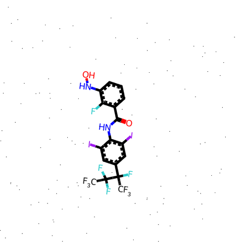 O=C(Nc1c(I)cc(C(F)(C(F)(F)F)C(F)(F)C(F)(F)F)cc1I)c1cccc(NO)c1F